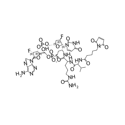 COP(=O)(OC[C@H]1O[C@@H](n2cnc3c(N)ncnc32)[C@H](F)[C@@H]1OP(=O)(O)OC[C@@H]1C[C@@H](F)[C@H](n2ccc(=O)[nH]c2=O)O1)SCCNC(=O)C(CCCNC(N)=O)NC(=O)C(NC(=O)CCCCN1C(=O)C=CC1=O)C(C)C